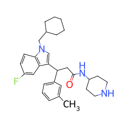 Cc1cccc(C(CC(=O)NC2CCNCC2)c2cn(CC3CCCCC3)c3ccc(F)cc23)c1